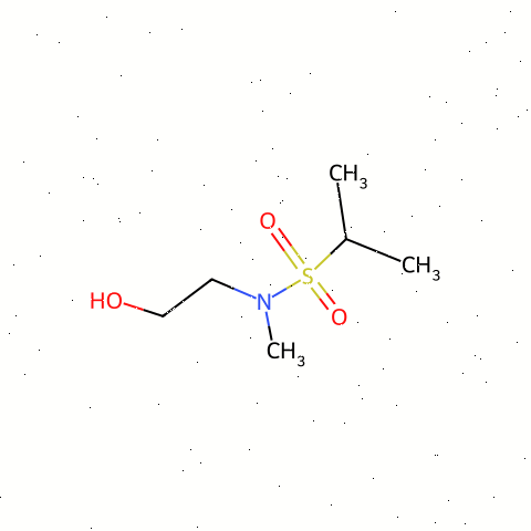 CC(C)S(=O)(=O)N(C)CCO